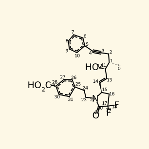 C[C@@H](CC#Cc1ccccc1)[C@H](O)/C=C/[C@H]1CC(F)(F)C(=O)N1CCc1ccc(C(=O)O)cc1